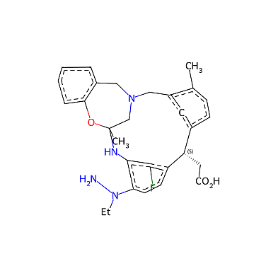 CCN(N)c1ccc2c(F)c1NC1(C)CN(Cc3cc(ccc3C)[C@@H]2CC(=O)O)Cc2ccccc2O1